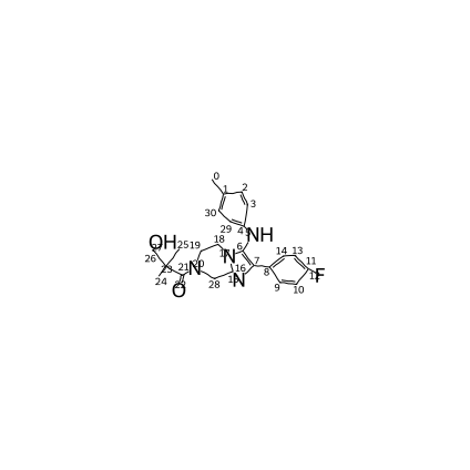 Cc1ccc(Nc2c(-c3ccc(F)cc3)nc3n2CCN(C(=O)C(C)(C)CO)C3)cc1